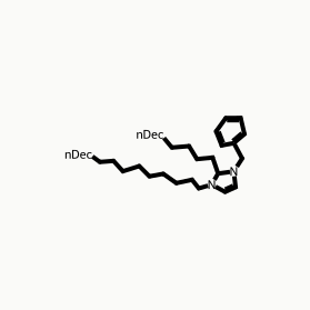 CCCCCCCCCCCCCCCCCCCN1C=CN(Cc2ccccc2)C1CCCCCCCCCCCCCC